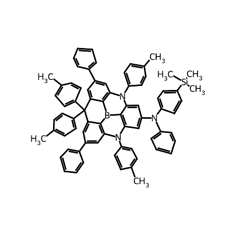 Cc1ccc(N2c3cc(N(c4ccccc4)c4ccc([Si](C)(C)C)cc4)cc4c3B3c5c2cc(-c2ccccc2)cc5C(c2ccc(C)cc2)(c2ccc(C)cc2)c2cc(-c5ccccc5)cc(c23)N4c2ccc(C)cc2)cc1